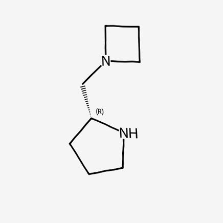 C1CN[C@@H](CN2CCC2)C1